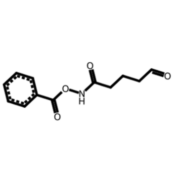 O=CCCCC(=O)NOC(=O)c1ccccc1